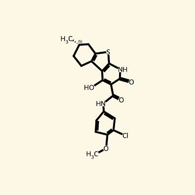 COc1ccc(NC(=O)c2c(O)c3c4c(sc3[nH]c2=O)C[C@@H](C)CC4)cc1Cl